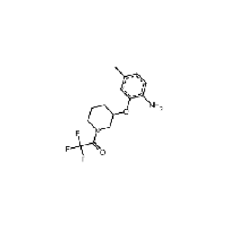 Cc1ccc(N)c(OC2CCCN(C(=O)C(F)(F)F)C2)c1